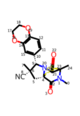 CN1C(=O)[C@@]23C[C@](C)(C#N)[C@H](c4ccc5c(c4)OCCO5)N2C(=O)C1(C)SS3